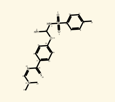 CCCC(NS(=O)(=O)c1ccc(C)cc1)Oc1ccc(C(=S)/N=C\N(C)C)cc1